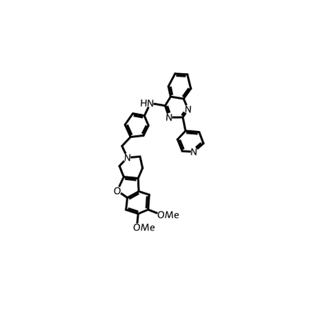 COc1cc2oc3c(c2cc1OC)CCN(Cc1ccc(Nc2nc(-c4ccncc4)nc4ccccc24)cc1)C3